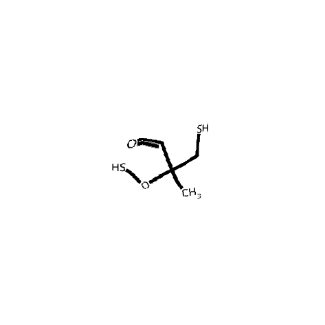 CC(C=O)(CS)OS